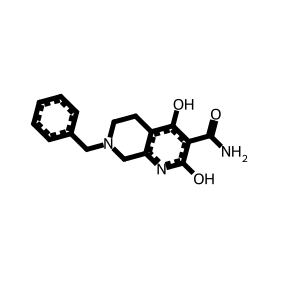 NC(=O)c1c(O)nc2c(c1O)CCN(Cc1ccccc1)C2